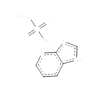 CCCCCS(N)(=O)=O.c1cnc2nc[nH]c2c1